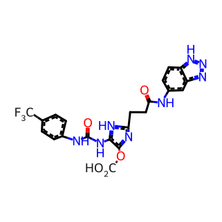 O=C(CCc1nc(OC(=O)O)c(NC(=O)Nc2ccc(C(F)(F)F)cc2)[nH]1)Nc1ccc2[nH]nnc2c1